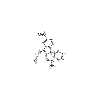 COc1ccc2c(c1)c(N=C=O)cn2-c1ccccc1C(N)=O